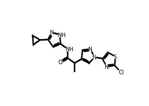 CC(C(=O)Nc1cc(C2CC2)n[nH]1)c1cnn(-c2csc(Cl)n2)c1